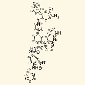 CC1(C)CCC(CN2CCN(c3ccc(C(=O)NS(=O)(=O)c4ccc(NC[C@H]5COCCO5)c([N+](=O)[O-])c4)c(N4CCCOc5nc6[nH]ccc6cc54)c3)CC2)=C(C23CCC(C)(CC2)C3)C1